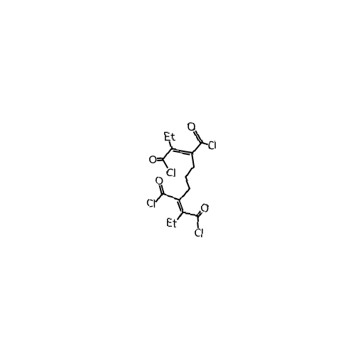 CCC(C(=O)Cl)=C(CCCC(C(=O)Cl)=C(CC)C(=O)Cl)C(=O)Cl